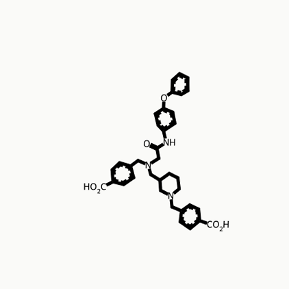 O=C(CN(Cc1ccc(C(=O)O)cc1)CC1CCCN(Cc2ccc(C(=O)O)cc2)C1)Nc1ccc(Oc2ccccc2)cc1